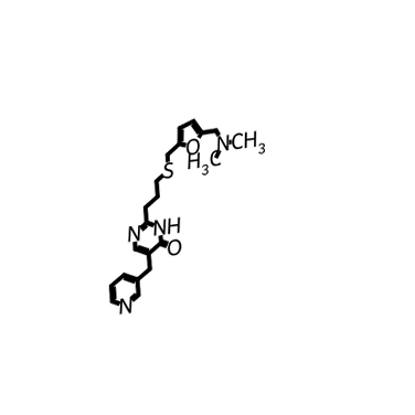 CN(C)Cc1ccc(CSCCCc2ncc(Cc3cccnc3)c(=O)[nH]2)o1